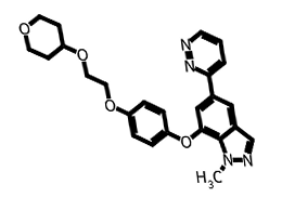 Cn1ncc2cc(-c3cccnn3)cc(Oc3ccc(OCCOC4CCOCC4)cc3)c21